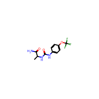 CC(NC(=O)Nc1ccc(OC(F)(F)F)cc1)C(N)=O